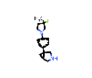 CC1(F)CCN(c2ccc(C34CNCC3C4)cc2)C1